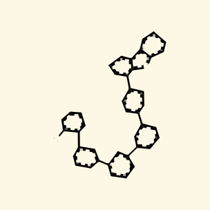 Nc1ccccc1-c1cccc(-c2cccc(-c3cccc(-c4ccc(-c5cccc6c5sc5ccccc56)cc4)c3)c2)c1